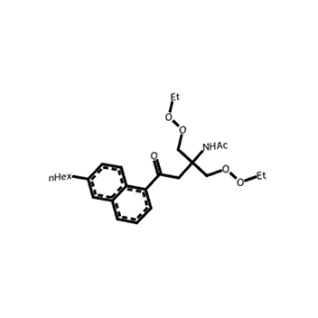 CCCCCCc1ccc2c(C(=O)CC(COOCC)(COOCC)NC(C)=O)cccc2c1